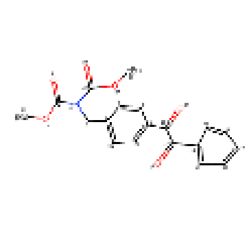 CC(C)(C)OC(=O)N(Cc1ccc(C(=O)C(=O)c2ccccc2)cc1)C(=O)OC(C)(C)C